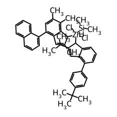 CC1=Cc2c(-c3cccc4ccccc34)cc(C)c(C)c2[CH]1[Zr]([Cl])([Cl])([CH]1C(C(C)C)=Cc2c(-c3ccc(C(C)(C)C)cc3)cccc21)[SiH](C)C